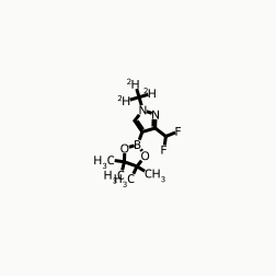 [2H]C([2H])([2H])n1cc(B2OC(C)(C)C(C)(C)O2)c(C(F)F)n1